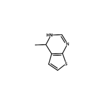 CC1NC=Nc2sccc21